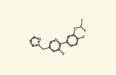 Fc1ccc(-c2ncc(Cn3cccn3)cc2F)cc1OC(F)F